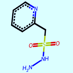 NNS(=O)(=O)Cc1ccccn1